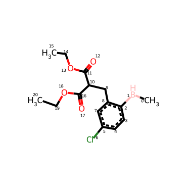 CBc1ccc(Cl)cc1CC(C(=O)OCC)C(=O)OCC